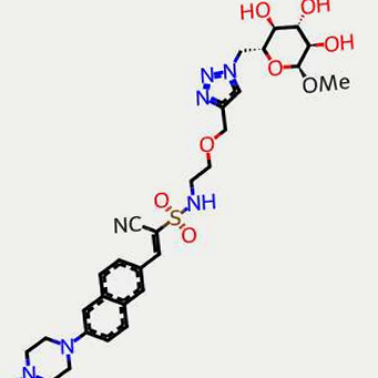 CO[C@H]1O[C@H](Cn2cc(COCCNS(=O)(=O)/C(C#N)=C/c3ccc4cc(N5CCN(C)CC5)ccc4c3)nn2)[C@@H](O)[C@H](O)[C@H]1O